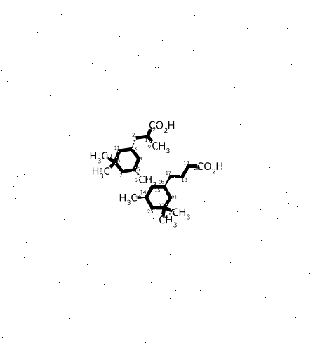 CC(C[C@@H]1C[C@H](C)CC(C)(C)C1)C(=O)O.C[C@H]1C[C@@H](CCCC(=O)O)CC(C)(C)C1